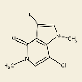 Cn1cc(Cl)c2c(c(I)cn2C)c1=O